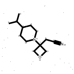 CC(C)C1CCN(C2(CC#N)COC2)CC1